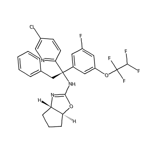 Fc1cc(OC(F)(F)C(F)F)cc([C@](Cc2ccccc2)(NC2=N[C@H]3CCC[C@@H]3O2)c2ccc(Cl)cn2)c1